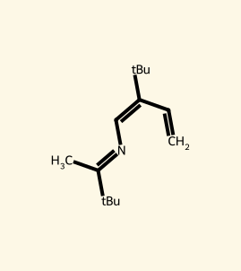 C=C/C(=C\N=C(/C)C(C)(C)C)C(C)(C)C